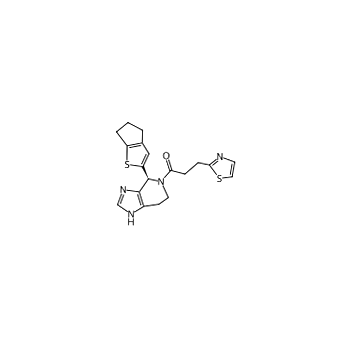 O=C(CCc1nccs1)N1CCc2[nH]cnc2[C@H]1c1cc2c(s1)CCC2